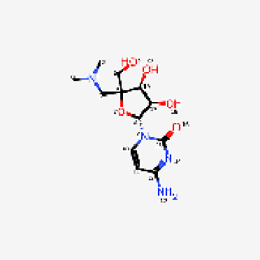 CN(C)C[C@]1(CO)O[C@@H](n2ccc(N)nc2=O)[C@H](O)[C@@H]1O